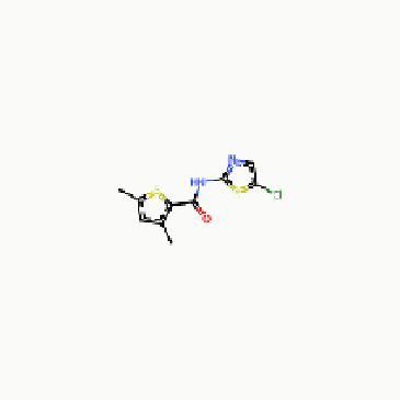 Cc1cc(C)c(C(=O)Nc2ncc(Cl)s2)s1